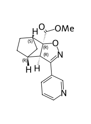 COC(=O)[C@]12ON=C(c3cccnc3)[C@H]1[C@@H]1CC[C@H]2C1